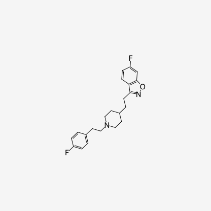 Fc1ccc(CCN2CCC(CCc3noc4cc(F)ccc34)CC2)cc1